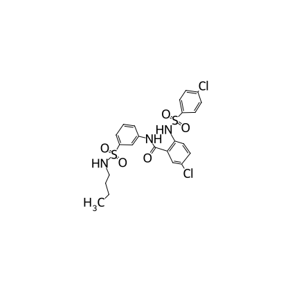 CCCCNS(=O)(=O)c1cccc(NC(=O)c2cc(Cl)ccc2NS(=O)(=O)c2ccc(Cl)cc2)c1